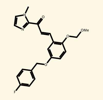 COCOc1ccc(OCc2ccc(F)cc2)cc1C=CC(=O)c1nccn1C